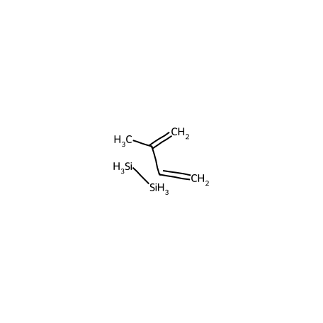 C=CC(=C)C.[SiH3][SiH3]